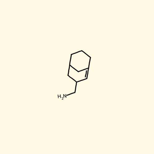 NCC1C=C2CCCC(C2)C1